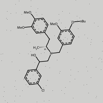 CCCCOc1ccc(CN(CC(O)c2cccc(Cl)c2)[C@H](C)Cc2ccc(OC)c(OC)c2)cc1OC